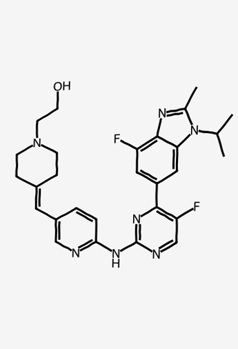 Cc1nc2c(F)cc(-c3nc(Nc4ccc(C=C5CCN(CCO)CC5)cn4)ncc3F)cc2n1C(C)C